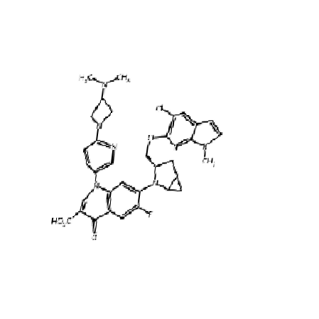 CN(C)C1CN(c2ccc(-n3cc(C(=O)O)c(=O)c4cc(F)c(N5C6CC6C[C@@H]5COc5nc6c(ccn6C)cc5Cl)cc43)cn2)C1